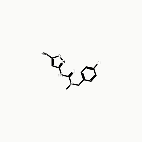 CN(Cc1ccc(Cl)cc1)C(=O)Nc1cc(C(C)(C)C)on1